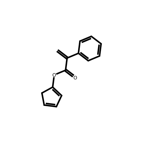 C=C(C(=O)OC1=CC=CC1)c1ccccc1